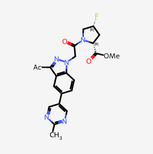 COC(=O)[C@H]1C[C@@H](F)CN1C(=O)Cn1nc(C(C)=O)c2cc(-c3cnc(C)nc3)ccc21